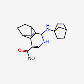 O=NC(=O)C1=CNC(NC23CCC(CC2)C3)C2=C1C1CCC2C1